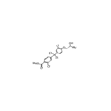 CCC(CC)(c1ccc(OCC(O)C(C)(C)C)c(Cl)c1)c1ccc(C(=O)OC)c(Cl)c1